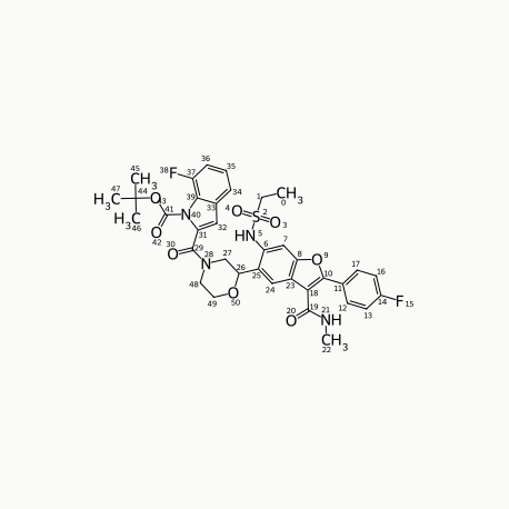 CCS(=O)(=O)Nc1cc2oc(-c3ccc(F)cc3)c(C(=O)NC)c2cc1C1CN(C(=O)c2cc3cccc(F)c3n2C(=O)OC(C)(C)C)CCO1